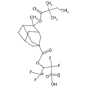 CCC(C)(C)C(=O)OC1(C)C2CC3CC1CC(C(=O)OC(C(F)(F)F)C(F)(F)S(=O)(=O)O)(C3)C2